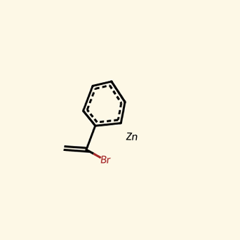 C=C(Br)c1ccccc1.[Zn]